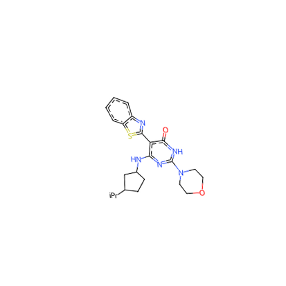 CC(C)C1CCC(Nc2nc(N3CCOCC3)[nH]c(=O)c2-c2nc3ccccc3s2)C1